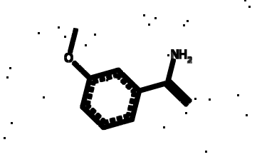 C=C(N)c1cccc(OC)c1